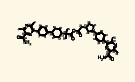 Cc1nc(C)c(-c2ccc(C3CCC(C(C)(C)C(=O)OC(=O)CC4CCN(c5ccc(-c6nc(C(N)=O)c(C)nc6C)cc5)C4)CC3)cc2)nc1C(N)=O